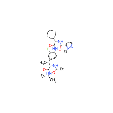 CCC(=O)N[C@@H](C(=O)N[C@@H](C)C1CC1)[C@@H](C)c1ccc(NC(=O)[C@@H](NC(=O)c2ccnn2CC)C2CCCCCC2)c(F)c1